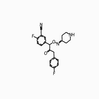 N#Cc1cc(C(ON=C2CCNCC2)C(=O)Cc2ccc(F)cc2)ccc1F